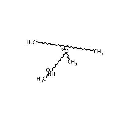 CCCCCCCCCCCCCCC(CCCCCCCCCCCCCC)C(=S)OC(CCCC)CCCCCCCCCCC(=O)NCCC